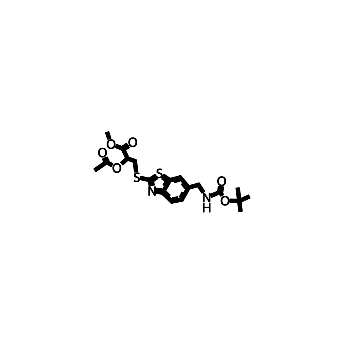 COC(=O)C(CSc1nc2ccc(CNC(=O)OC(C)(C)C)cc2s1)OC(C)=O